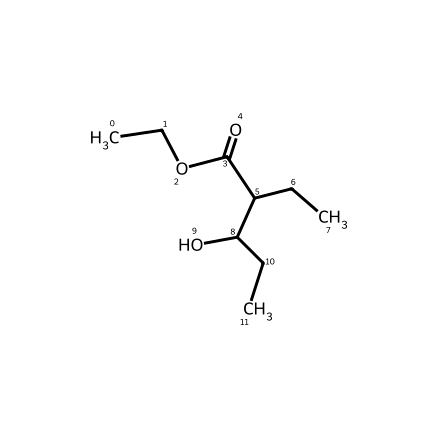 CCOC(=O)C(CC)C(O)CC